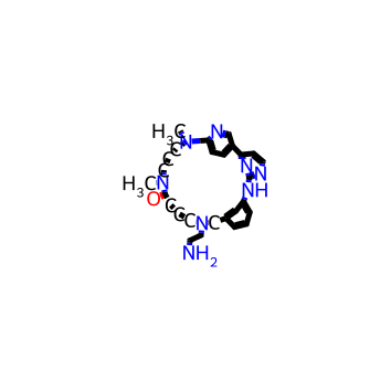 CN1CCCN(C)c2ccc(cn2)-c2ccnc(n2)Nc2cccc(c2)CN(CCN)CCCC1=O